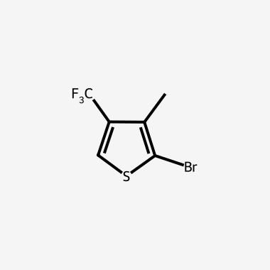 Cc1c(C(F)(F)F)csc1Br